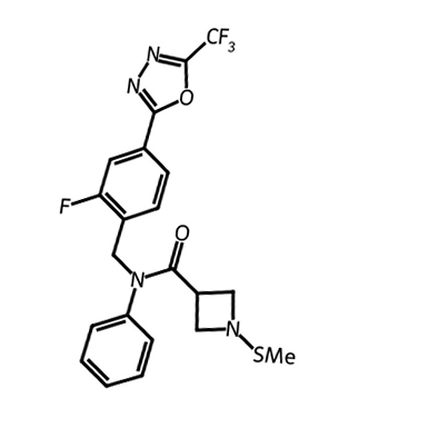 CSN1CC(C(=O)N(Cc2ccc(-c3nnc(C(F)(F)F)o3)cc2F)c2ccccc2)C1